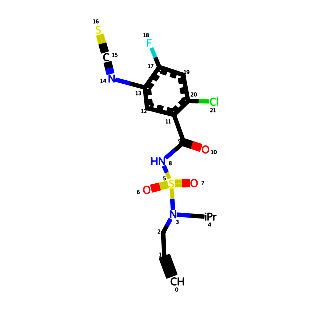 C#CCN(C(C)C)S(=O)(=O)NC(=O)c1cc(N=C=S)c(F)cc1Cl